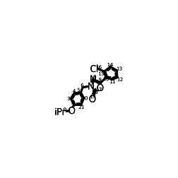 CC(C)Oc1ccc(Cn2nc(-c3ccccc3Cl)oc2=O)cc1